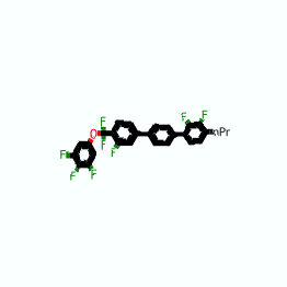 CCCc1ccc(-c2ccc(-c3ccc(C(F)(F)Oc4cc(F)c(F)c(F)c4)c(F)c3)cc2)c(F)c1F